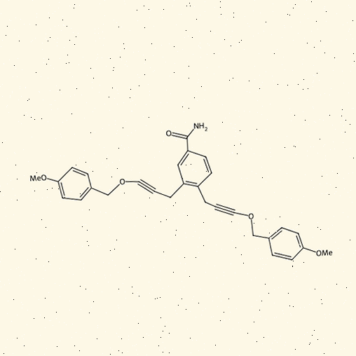 COc1ccc(COC#CCc2ccc(C(N)=O)cc2CC#COCc2ccc(OC)cc2)cc1